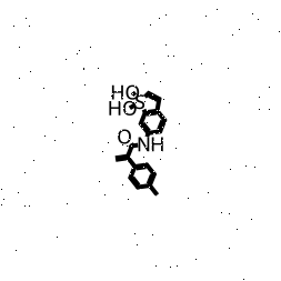 C=C(C(=O)Nc1ccc2c(c1)S(O)(O)C=C2)c1ccc(C)cc1